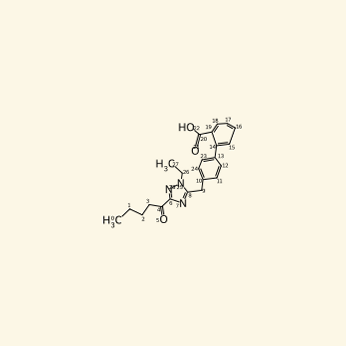 CCCCC(=O)c1nc(Cc2ccc(-c3ccccc3C(=O)O)cc2)n(CC)n1